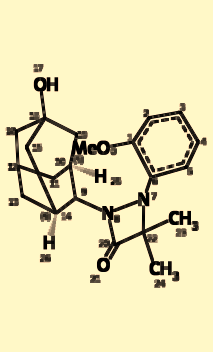 COc1ccccc1N1N(C2[C@H]3CC4C[C@H]2CC(O)(C4)C3)C(=O)C1(C)C